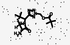 CC(C)(C)C(=O)OCn1nnc(C2N3C(=O)C(N)[C@@H]3SC2(C)C)n1